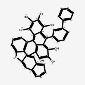 Oc1c(O)c(O)c2c(-c3cccc4oc5cc6ccccc6cc5c34)c3c(O)c(O)c(O)c(O)c3c(-c3cccc(-c4ccccc4)c3)c2c1O